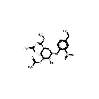 COC(=O)[C@H]1O[C@@H](Oc2ccc(CO)cc2[N+](=O)[O-])[C@H](O)[C@@H](OC(C)=O)[C@@H]1OC(C)=O